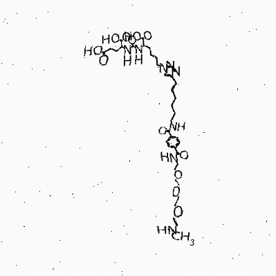 CNCCOCCOCCOCCNC(=O)c1ccc(C(=O)NCCCCCCc2cn(CCCCC(NC(=O)NC(CCC(=O)O)C(=O)O)C(=O)O)nn2)cc1